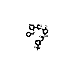 Cc1ccc(NC(=O)Cc2cccc(C(F)(F)F)c2)cc1-n1cc(-c2cnccc2OCC2CCCC2)cn1